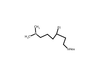 CCCCCCCCC(CC)CCCN(C)C